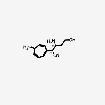 CC1C=CC=C([C@H](C#N)[C@H](N)CCO)C=C1